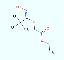 CCOC(=O)CS/C(=N/O)C(C)(C)C